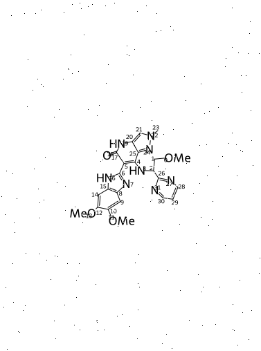 COCC(Nc1c(-c2nc3cc(OC)c(OC)cc3[nH]2)c(=O)[nH]c2cn(C)nc12)c1ncccn1